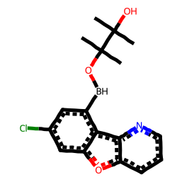 CC(C)(O)C(C)(C)OBc1cc(Cl)cc2oc3cccnc3c12